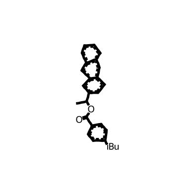 CCC(C)c1ccc(C(=O)OC(C)c2ccc3cc4ccccc4cc3c2)cc1